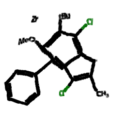 COc1c(-c2ccccc2)c2c(c(Cl)c1C(C)(C)C)[CH]C(C)=C2Cl.[Zr]